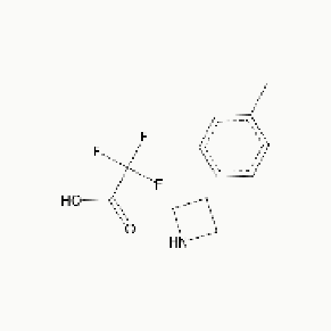 C1CNC1.Cc1ccccc1.O=C(O)C(F)(F)F